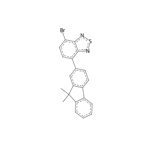 CC1(C)c2ccccc2-c2ccc(-c3ccc(Br)c4nsnc34)cc21